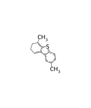 CC1=c2sc3ccc(C)cc3c2=CCC1